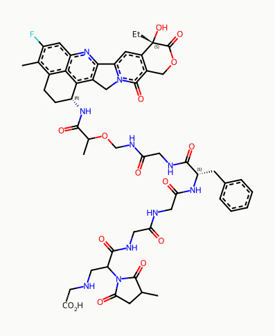 CC[C@@]1(O)C(=O)OCc2c1cc1n(c2=O)Cc2c-1nc1cc(F)c(C)c3c1c2[C@H](NC(=O)C(C)OCNC(=O)CNC(=O)[C@H](Cc1ccccc1)NC(=O)CNC(=O)CNC(=O)C(CNCC(=O)O)N1C(=O)CC(C)C1=O)CC3